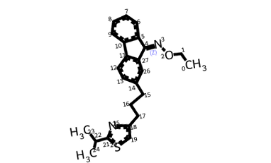 CCO/N=C1/c2ccccc2-c2ccc(CCCc3csc(C(C)C)n3)cc21